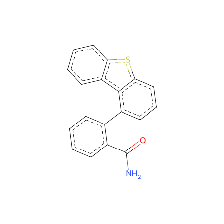 NC(=O)c1ccccc1-c1cccc2sc3ccccc3c12